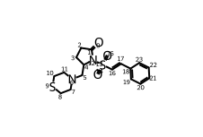 O=C1CCC(CN2CCSCC2)N1S(=O)(=O)C=Cc1ccccc1